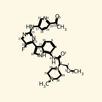 COC[C@H](C(=O)Nc1cccc2c(-c3nc(Nc4ccc(C(C)=O)nc4)ncc3F)c[nH]c12)N1CCN(C)CC1